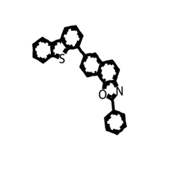 c1ccc(-c2nc3ccc4cc(-c5cccc6c5sc5ccccc56)ccc4c3o2)cc1